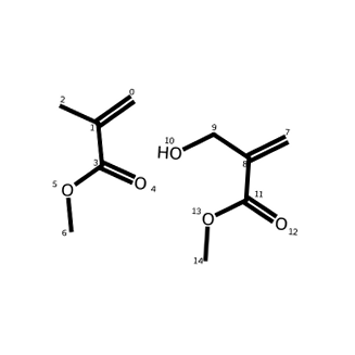 C=C(C)C(=O)OC.C=C(CO)C(=O)OC